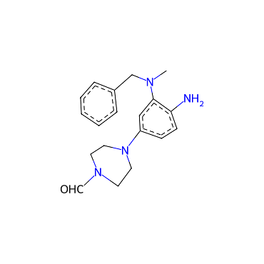 CN(Cc1ccccc1)c1cc(N2CCN(C=O)CC2)ccc1N